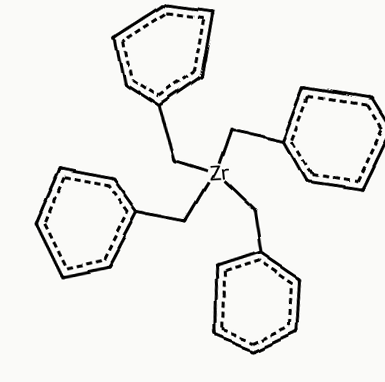 c1ccc([CH2][Zr]([CH2]c2ccccc2)([CH2]c2ccccc2)[CH2]c2ccccc2)cc1